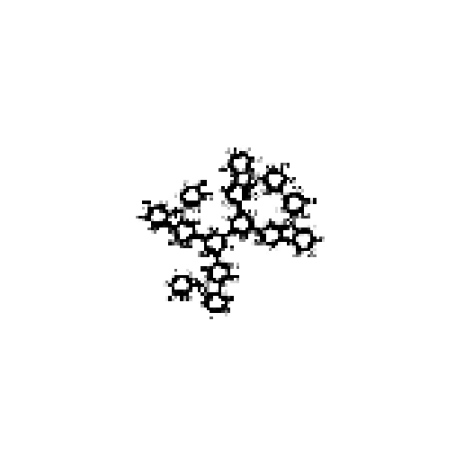 c1ccc(-n2c3ccccc3c3ccc(-c4cc(-c5cc(-c6ccc7c8ccccc8n(-c8ccccc8)c7c6)cc(-c6ccc7c8ccccc8n(-c8ccccc8)c7c6)c5)cc(-c5ccc6c7ccccc7n(-c7ccccc7)c6c5)c4)cc32)cc1